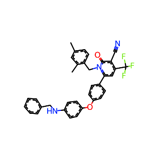 Cc1ccc(Cn2c(-c3ccc(Oc4ccc(NCc5ccccc5)cc4)cc3)cc(C(F)(F)F)c(C#N)c2=O)c(C)c1